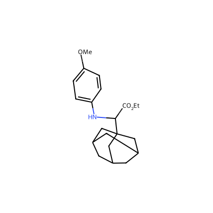 CCOC(=O)C(Nc1ccc(OC)cc1)C12CC3CC(CC(C3)C1)C2